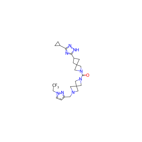 O=C(N1CC2(CC(c3nc(C4CC4)n[nH]3)C2)C1)N1CC2(CN(Cc3ccn(CC(F)(F)F)n3)C2)C1